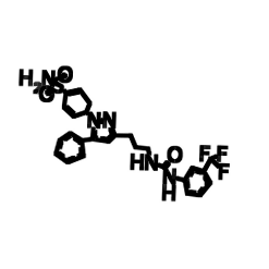 NS(=O)(=O)C1=CCC(n2nc(CCCNC(=O)Nc3cccc(C(F)(F)F)c3)cc2-c2ccccc2)C=C1